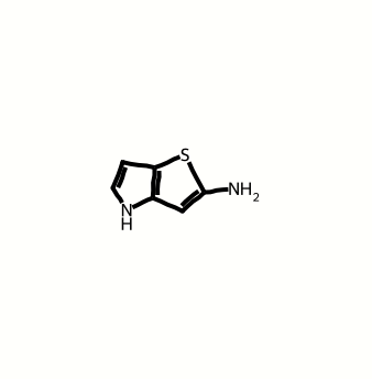 Nc1cc2[nH]ccc2s1